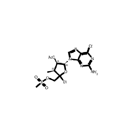 CCC1(COS(C)(=O)=O)O[C@@H](n2cnc3c(Cl)nc(N)nc32)[C@H](OC(C)=O)[C@@H]1C